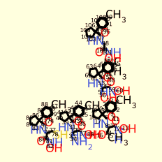 Cc1ccc(C2(C(=O)NC(C(=O)NO)C(C)O)CCCC2)cc1.Cc1ccc(C2(C(=O)NC(CN)C(=O)NO)CCCC2)cc1.Cc1ccc(C2(C(=O)NC(CO)C(=O)NO)CCCC2)cc1.Cc1ccc(C2(C(=O)NC(CS)C(=O)NO)CCCC2)cc1.Cc1ccc(C2(C(=O)NCC(=O)NO)CCCC2)cc1